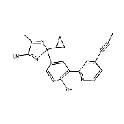 CC#Cc1ccnc(-c2cc(C3(C4CC4)N=C(C)C(N)=N3)ccc2O)c1